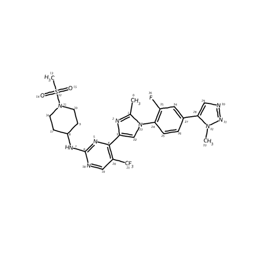 Cc1nc(-c2nc(NC3CCN(S(C)(=O)=O)CC3)ncc2C(F)(F)F)cn1-c1ccc(-c2cnnn2C)cc1F